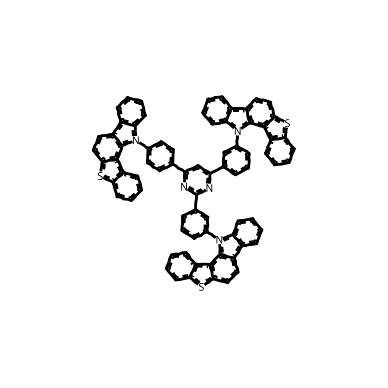 c1cc(-c2cc(-c3ccc(-n4c5ccccc5c5ccc6sc7ccccc7c6c54)cc3)nc(-c3cccc(-n4c5ccccc5c5ccc6sc7ccccc7c6c54)c3)n2)cc(-n2c3ccccc3c3ccc4sc5ccccc5c4c32)c1